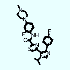 CC(C)n1cnc(-c2ccc(F)cc2)c1-c1csc(C(=O)Nc2ccc(N3CCN(C)CC3)cc2F)n1